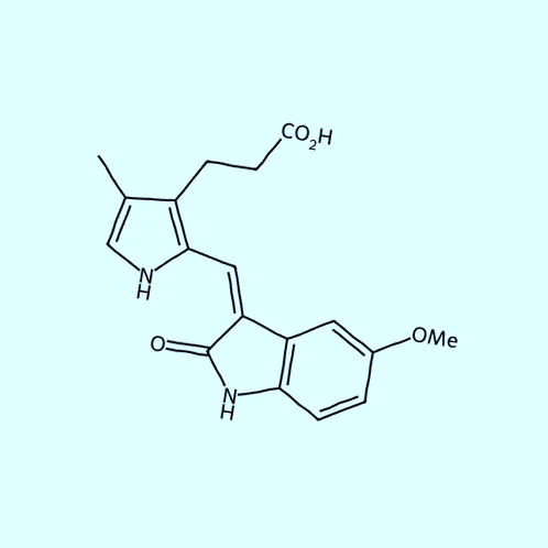 COc1ccc2c(c1)C(=Cc1[nH]cc(C)c1CCC(=O)O)C(=O)N2